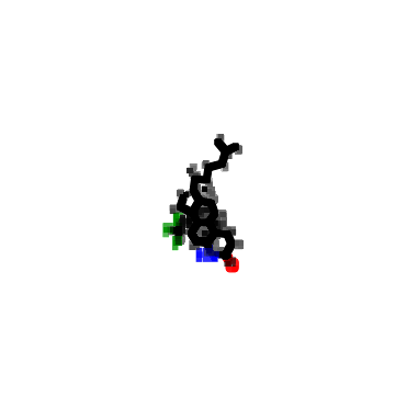 CC(C)CCC[C@@H](C)[C@H]1CC[C@H]2[C@@H]3[C@@H](C(F)(F)F)C=C4NC(=O)CC[C@]4(C)[C@H]3CC[C@]12C